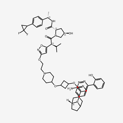 CC(C)[C@H](C(=O)N1C[C@H](O)C[C@H]1C(=O)N[C@@H](C)c1ccc(C2CC2(F)F)cc1)c1cc(OCCN2CCC(OC3CC(Oc4cc(N5C6CC[C@@H]5CN(c5cc(-c7ccccc7O)nnc5N)C6)ccn4)C3)CC2)no1